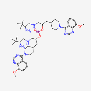 COc1cccc2c(N3CCC(CC(CNC[C@@H](N)C(C)(C)C)O[PH](=O)OC(CNC[C@@H](N)C(C)(C)C)CC4CCN(c5ncnc6c(OC)cccc56)CC4)CC3)ncnc12